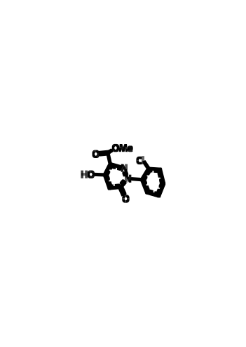 COC(=O)c1nn(-c2ccccc2Cl)c(=O)cc1O